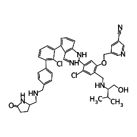 CC(C)C(CO)NCc1cc(Cl)c(CNc2cccc(-c3cccc(-c4ccc(CNCC5CCC(=O)N5)cc4)c3Cl)c2C=N)cc1OCc1cncc(C#N)c1